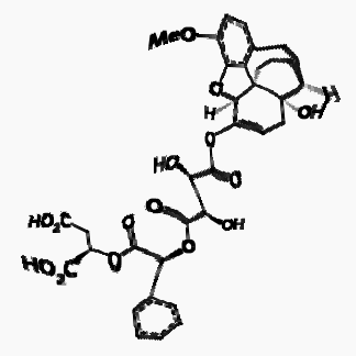 COc1ccc2c3c1O[C@@H]1C(OC(=O)[C@H](O)[C@@H](O)C(=O)O[C@H](C(=O)O[C@H](CC(=O)O)C(=O)O)c4ccccc4)=CC[C@]4(O)[C@@H](CCC[C@@]314)C2